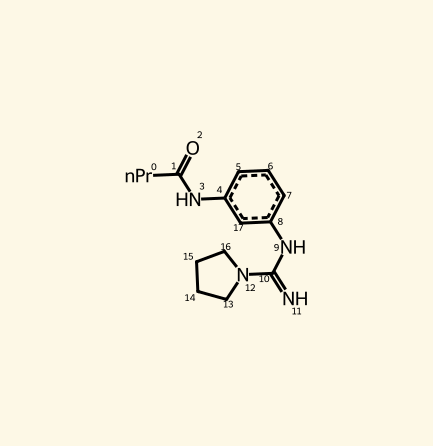 CCCC(=O)Nc1cccc(NC(=N)N2CCCC2)c1